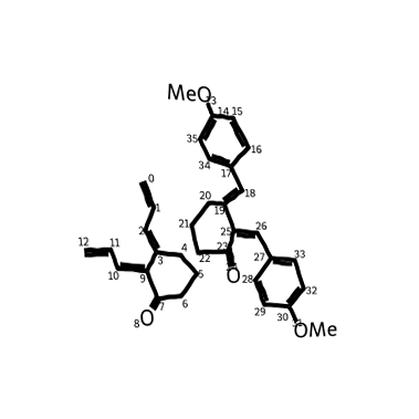 C=CC=C1CCCC(=O)C1=CC=C.COc1ccc(C=C2CCCC(=O)C2=Cc2ccc(OC)cc2)cc1